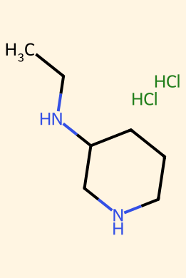 CCNC1CCCNC1.Cl.Cl